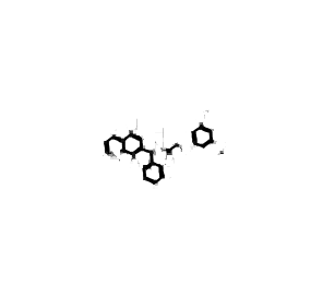 COc1cc(OC)cc(OCC(=O)NC(c2ccccc2)c2cc(Cl)c3cccnc3c2O)c1